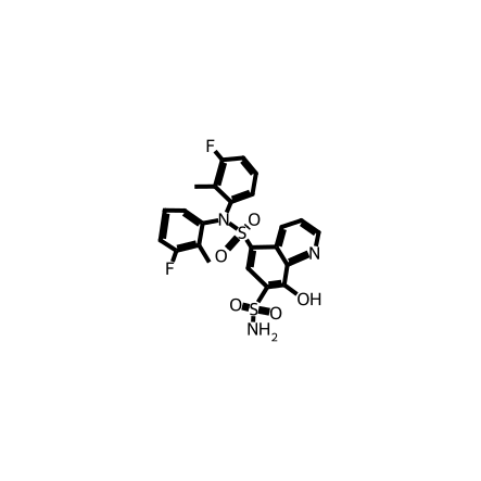 Cc1c(F)cccc1N(c1cccc(F)c1C)S(=O)(=O)c1cc(S(N)(=O)=O)c(O)c2ncccc12